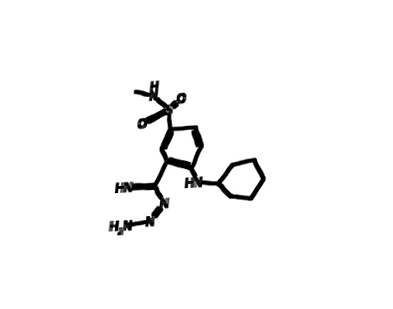 CNS(=O)(=O)c1ccc(NC2CCCCC2)c(C(=N)/N=N\N)c1